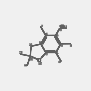 Cc1c(C)c(C(C)(C)C)c(C)c2c1OC(C)(C)C2